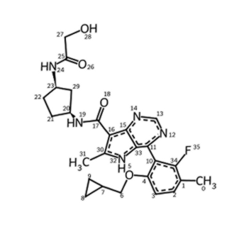 Cc1ccc(OCC2CC2)c(-c2ncnc3c(C(=O)N[C@H]4CC[C@@H](NC(=O)CO)C4)c(C)[nH]c23)c1F